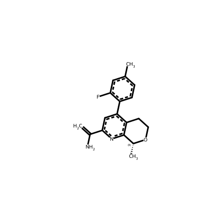 C=C(N)c1cc(-c2ccc(C)cc2F)c2c(n1)[C@@H](C)OCC2